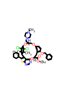 Cc1c(Cl)c2c(Cl)c(C)c1-c1c(C3=CCCCC3)sc3ncnc(c13)O[C@@H](C(=O)OC(C)(C)C)Cc1cc(ccc1OCc1ccccc1)OC[C@@H](CN1CCN(C)CC1)O2